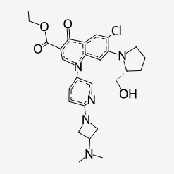 CCOC(=O)c1cn(-c2ccc(N3CC(N(C)C)C3)nc2)c2cc(N3CCC[C@@H]3CO)c(Cl)cc2c1=O